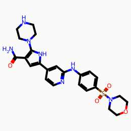 NC(=O)c1cc(-c2ccnc(Nc3ccc(S(=O)(=O)N4CCOCC4)cc3)c2)[nH]c1N1CCNCC1